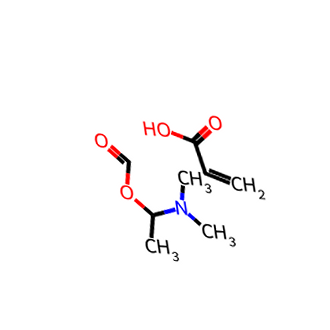 C=CC(=O)O.CC(OC=O)N(C)C